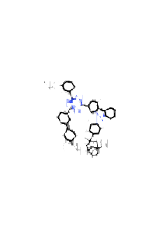 CC1(c2ccc(-n3c4ccccc4c4ccc(-c5nc(-c6cccc(C#N)c6)nc(-c6cccc(-c7ccc(C#N)cc7)c6)n5)cc43)cc2)C[C@@H]2CC[C@@H](C2)C1